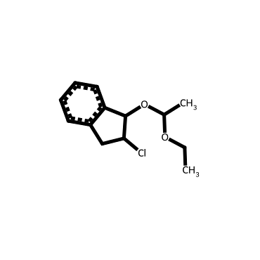 CCOC(C)OC1c2ccccc2CC1Cl